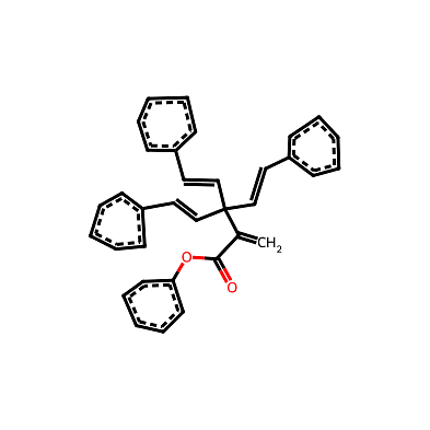 C=C(C(=O)Oc1ccccc1)C(C=Cc1ccccc1)(C=Cc1ccccc1)C=Cc1ccccc1